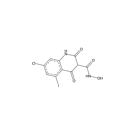 O=C(NO)C1C(=O)Nc2cc(Cl)cc(I)c2C1=O